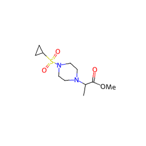 COC(=O)C(C)N1CCN(S(=O)(=O)C2CC2)CC1